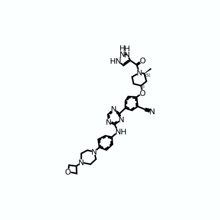 C[C@H]1C[C@@H](Oc2ccc(-c3ncnc(Nc4ccc(N5CCN(C6COC6)CC5)cc4)n3)cc2C#N)CCN1C(=O)C1=CNNN1